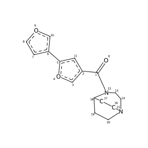 O=C(c1coc(-c2ccoc2)c1)N1CCN2CCC1CC2